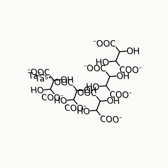 O=C([O-])C(O)C(O)C(=O)[O-].O=C([O-])C(O)C(O)C(=O)[O-].O=C([O-])C(O)C(O)C(=O)[O-].O=C([O-])C(O)C(O)C(=O)[O-].O=C([O-])C(O)C(O)C(=O)[O-].[Ta+5].[Ta+5]